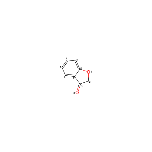 O=C1COc2c[c]ccc21